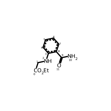 CCOC(=O)CNc1ccccc1C(N)=O